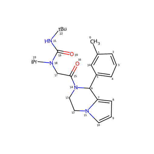 Cc1cccc(C2c3cccn3CCN2C(=O)CN(C(=O)NC(C)(C)C)C(C)C)c1